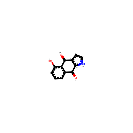 O=C1c2cccc(O)c2C(=O)c2cc[nH]c21